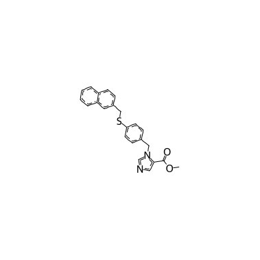 COC(=O)c1cncn1Cc1ccc(SCc2ccc3ccccc3c2)cc1